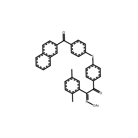 CC(=O)O/N=C(\C(=O)c1ccc(Sc2ccc(C(=O)c3ccc4ccccc4c3)cc2)cc1)c1cc(C)ccc1C